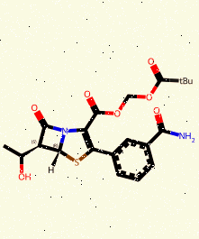 CC(O)[C@H]1C(=O)N2C(C(=O)OCOC(=O)C(C)(C)C)=C(c3cccc(C(N)=O)c3)S[C@H]12